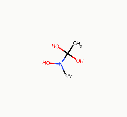 CCCN(O)C(C)(O)O